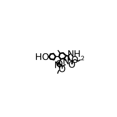 CCOC(=O)Cn1c(C(=O)OCC)c(N)c2cc(C)c(-c3ccc(O)cc3)c(C#N)c21